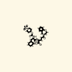 CS(=O)(=O)N1CCC(OC(=O)NC(CC2CCCCC2)C(=O)NC(CCC(=O)N2CCOc3ccccc3C2)C(=O)O)CC1